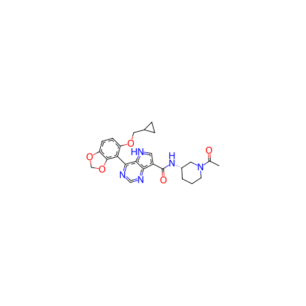 CC(=O)N1CCC[C@H](NC(=O)c2c[nH]c3c(-c4c(OCC5CC5)ccc5c4OCO5)ncnc23)C1